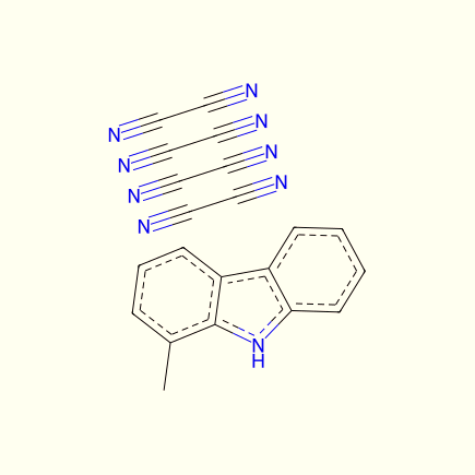 Cc1cccc2c1[nH]c1ccccc12.N#CC#N.N#CC#N.N#CC#N.N#CC#N